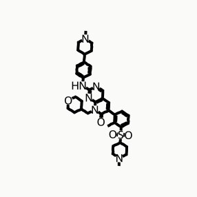 Cc1c(-c2cc3cnc(Nc4ccc(C5CCN(C)CC5)cc4)nc3n(CC3CCOCC3)c2=O)cccc1S(=O)(=O)C1CCN(C)CC1